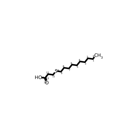 CCCCCCCCCCSCCC(=O)O